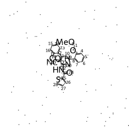 COCOc1ccccc1-c1cc(-c2ccccc2C(=O)O)c(C#N)c(NC(=O)c2cccs2)n1